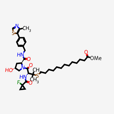 COC(=O)CCCCCCCCCCCCSC(C)(C)[C@H](NC(=O)C1(F)CC1)C(=O)N1C[C@H](O)C[C@H]1C(=O)NCc1ccc(-c2scnc2C)cc1